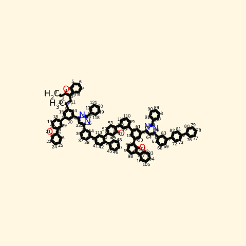 C=Cc1oc2ccccc2c1/C=C(\C)c1cc(-c2ccc3oc4ccccc4c3c2)cc(-c2cc(-c3cccc(-c4ccc(-c5ccccc5)c(-c5ccc6c(c5)oc5c(-c7cc(-c8cc(-c9cccc(-c%10ccc(-c%11ccccc%11)cc%10)c9)nc(-c9ccccc9)n8)cc(-c8cccc9c8oc8ccccc89)c7)cccc56)c4)c3)nc(-c3ccccc3)n2)c1